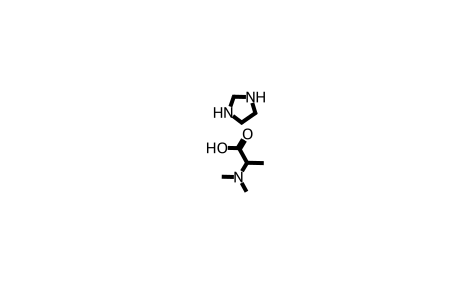 C1CNCN1.CC(C(=O)O)N(C)C